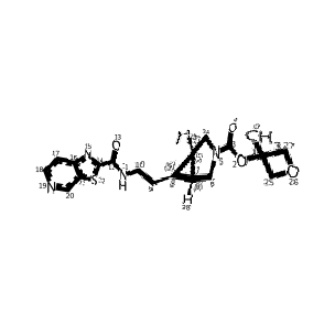 CC1(OC(=O)N2C[C@@H]3[C@@H](CCNC(=O)c4nc5ccncc5s4)[C@@H]3C2)COC1